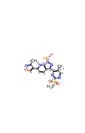 Cc1nocc1-c1ccc2c(-c3nc(S(C)(=O)=O)ncc3C(F)(F)F)nn(PI)c2n1